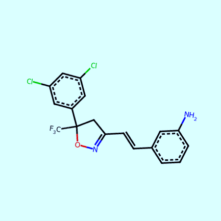 Nc1cccc(/C=C/C2=NOC(c3cc(Cl)cc(Cl)c3)(C(F)(F)F)C2)c1